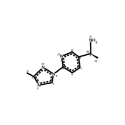 Cc1ncn(-c2ccc([C@H](C)N)cn2)n1